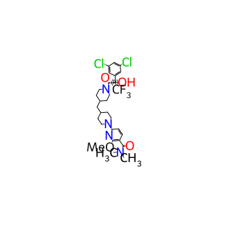 COc1nc(N2CCC(CC3CCN(C(=O)[C@](O)(c4cc(Cl)cc(Cl)c4)C(F)(F)F)CC3)CC2)ccc1C(=O)N(C)C